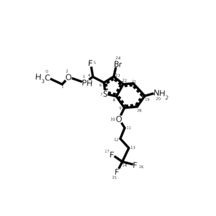 CCOPC(F)c1sc2c(OCCCC(F)(F)F)cc(N)cc2c1Br